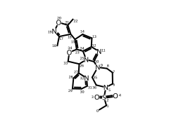 CCS(=O)(=O)N1CCCN(c2nc3ccc(-c4c(C)noc4C)c4c3n2C(c2ccccn2)CO4)CC1